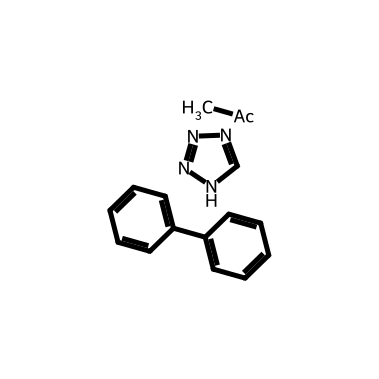 CC(C)=O.c1ccc(-c2ccccc2)cc1.c1nnn[nH]1